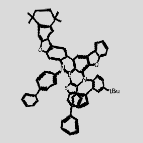 CC(C)(C)c1ccc(N2c3c(sc4cc(-c5ccccc5)ccc34)B3c4c(cc5c(oc6ccccc65)c42)-c2cc4c(cc2N3c2ccc(-c3ccccc3)cc2)oc2cc3c(cc24)C(C)(C)CCC3(C)C)c(-c2ccccc2)c1